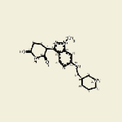 Cn1nc(C2CCC(=O)NC2=O)c2ccc(NC[C@@H]3CCCNC3)cc21